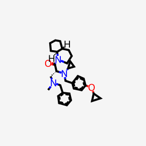 CN(Cc1ccccc1)C[C@H](C(=O)N1CCC[C@H]2CCCC[C@@H]21)N(Cc1ccc(OC2CC2)cc1)C1CC1